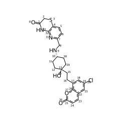 O=C1CSc2ccc(CN[C@H]3CC[C@@](O)(CCc4cc(Cl)cc5ccc(=O)oc45)CC3)nc2N1